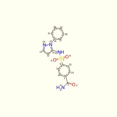 NC(=O)c1ccc(S(=O)(=O)Nc2ccnn2-c2ccccc2)cc1